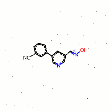 N#Cc1cccc(-c2cncc(/C=N/O)c2)c1